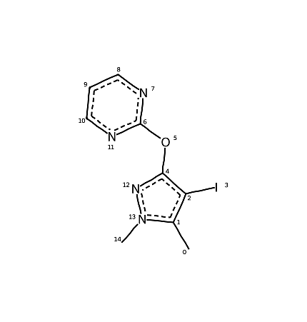 Cc1c(I)c(Oc2ncccn2)nn1C